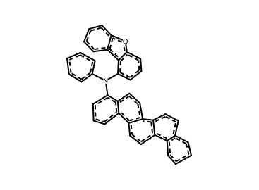 c1ccc(N(c2cccc3c2ccc2c3ccc3c4ccccc4ccc32)c2cccc3oc4ccccc4c23)cc1